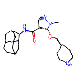 Cn1ncc(C(=O)NC2C3CC4CC(C3)CC2C4)c1OCC1CCNCC1